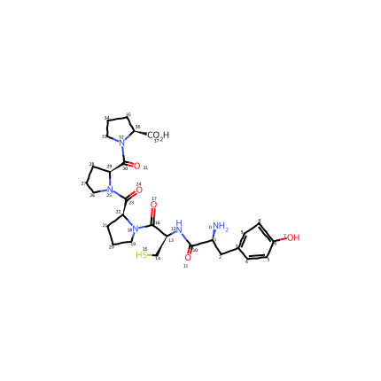 N[C@@H](Cc1ccc(O)cc1)C(=O)N[C@@H](CS)C(=O)N1CCC[C@H]1C(=O)N1CCC[C@H]1C(=O)N1CCC[C@H]1C(=O)O